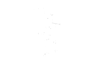 CC(C)C(NC(=O)N[C@H](C(=O)N1CC2C([C@H]1C(=O)NC(CC1CCC1)C(=O)C(N)=O)C2(C)C)C(C)(C)C)C1CCCS1(=O)=O